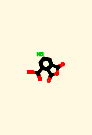 Cl.O=C(O)c1cccc2c1C(=O)OC2=O